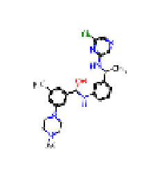 CC(=O)N1CCN(c2cc(C(O)Nc3cccc([C@H](C)Nc4cncc(Cl)n4)c3)cc(C(F)(F)F)c2)CC1